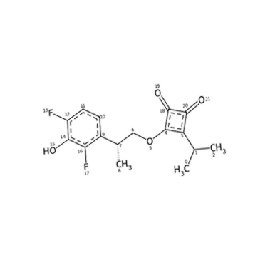 CC(C)c1c(OC[C@H](C)c2ccc(F)c(O)c2F)c(=O)c1=O